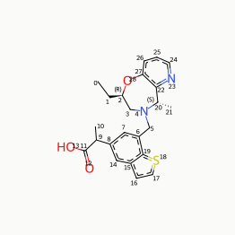 CC[C@@H]1CN(Cc2cc(C(C)C(=O)O)cc3ccsc23)[C@@H](C)c2ncccc2O1